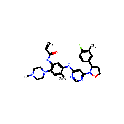 C=CC(=O)Nc1cc(Nc2cc(N3OCCC3c3ccc(F)c(C(F)(F)F)c3)ncn2)c(OC)cc1N1CCN(CC)CC1